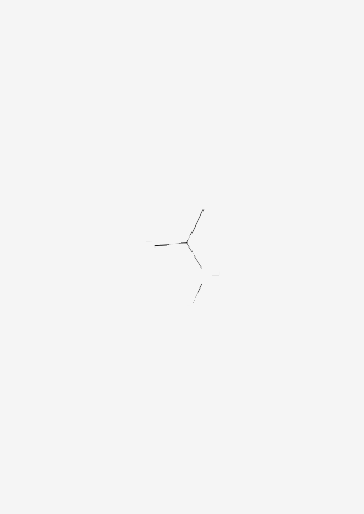 CC(F)PF